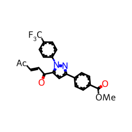 COC(=O)c1ccc(-c2cc(C(=O)/C=C/C(C)=O)n(-c3ccc(C(F)(F)F)cc3)n2)cc1